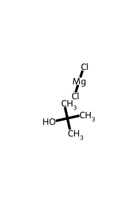 CC(C)(C)O.[Cl][Mg][Cl]